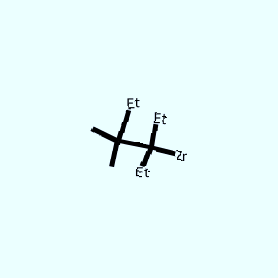 CCC(C)(C)[C]([Zr])(CC)CC